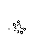 O=C(CCC(=O)Oc1ccccc1)Oc1ccccc1.O=C(CCC(=O)Oc1ccccc1)Oc1ccccc1.O=C(O)CCCCC(=O)O